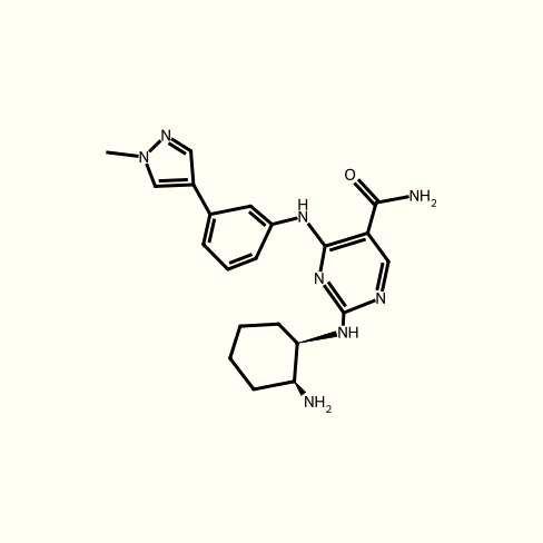 Cn1cc(-c2cccc(Nc3nc(N[C@@H]4CCCC[C@@H]4N)ncc3C(N)=O)c2)cn1